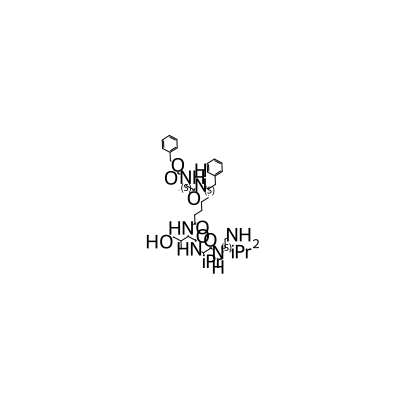 CC(C)C(NC(=O)C(NC(=O)CCCC[C@@H](Cc1ccccc1)NC(=O)[C@H](C)NC(=O)OCc1ccccc1)C(C)CO)C(=O)N[C@H](CN)C(C)C